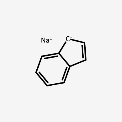 [Na+].c1ccc2[cH-]ccc2c1